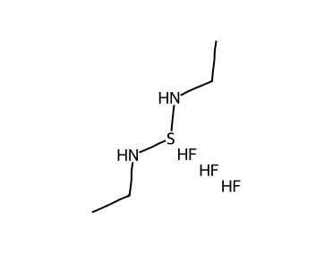 CCNSNCC.F.F.F